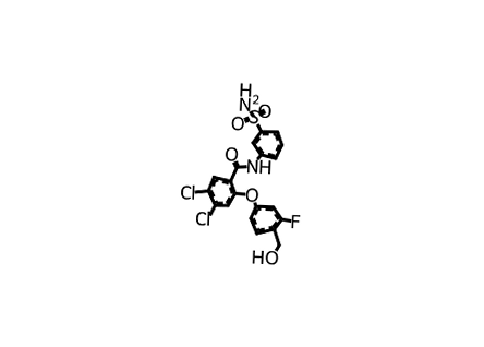 NS(=O)(=O)c1cccc(NC(=O)c2cc(Cl)c(Cl)cc2Oc2ccc(CO)c(F)c2)c1